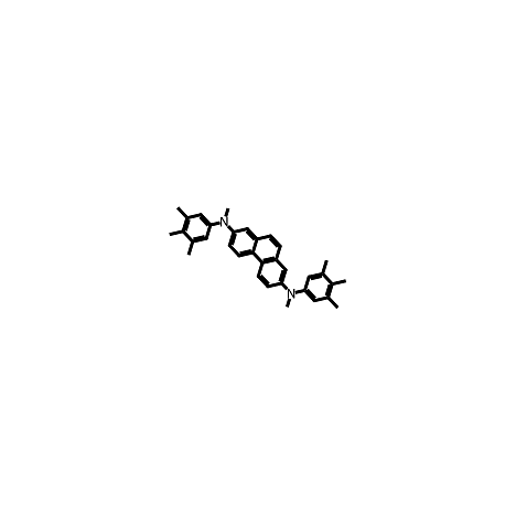 Cc1cc(N(C)c2ccc3c(ccc4cc(N(C)c5cc(C)c(C)c(C)c5)ccc43)c2)cc(C)c1C